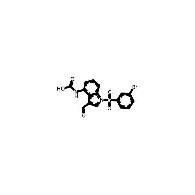 O=Cc1cn(S(=O)(=O)c2cccc(Br)c2)c2cccc(NC(=O)O)c12